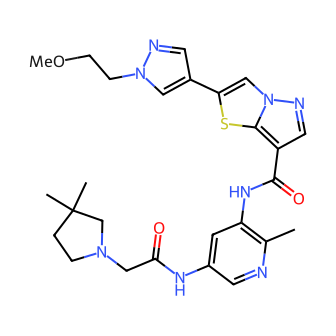 COCCn1cc(-c2cn3ncc(C(=O)Nc4cc(NC(=O)CN5CCC(C)(C)C5)cnc4C)c3s2)cn1